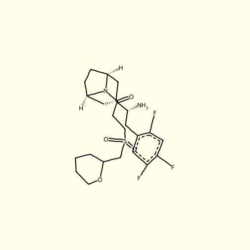 N[C@H](Cc1cc(F)c(F)cc1F)[C@@H]1C[C@H]2CC[C@@H](C1)N2C(=O)CCS(=O)(=O)CC1CCCCO1